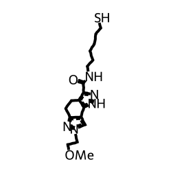 COCCn1cc2c(n1)CCc1c(C(=O)NCCCCCCS)n[nH]c1-2